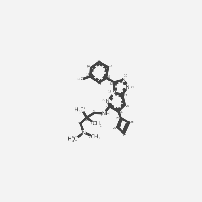 CN(C)CC(C)(C)CNc1nn2c(-c3cccc(F)c3)nnc2cc1C1=CC=C1